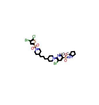 O=C(O)C1(NS(=O)(=O)c2cnc(N3CCC(CCCC4CCN(S(=O)(=O)c5cc(Br)c(Cl)s5)CC4)CC3)c(Br)c2)CCCC1